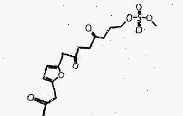 COS(=O)(=O)OCCCC(=O)CCC(=O)Cc1ccc(CC(C)=O)o1